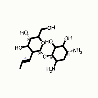 C/C=C/C1C(O)[C@H](O)C(CO)O[C@@H]1O[C@@H]1C(N)C[C@@H](N)C(O)C1O